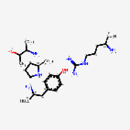 CC(O)C(N)C(=O)O.N=C(N)NCCCC(N)C(=O)O.NC(Cc1ccc(O)cc1)C(=O)O.O=C(O)[C@@H]1CCCN1